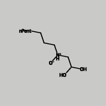 CCCCCCCC[NH+]([O-])CC(O)O